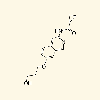 O=C(Nc1cc2ccc(OCCCO)cc2cn1)C1CC1